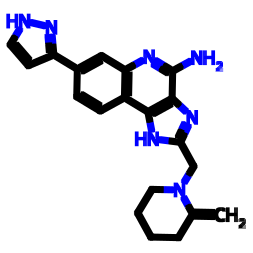 C=C1CCCCN1Cc1nc2c(N)nc3cc(-c4cc[nH]n4)ccc3c2[nH]1